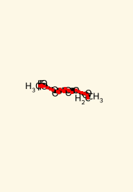 C=C(C)C(=O)OCCCCCCOc1ccc(C(=O)Oc2ccc(-c3ccc(C(=O)OCCCCCCOC(=O)C(F)(F)C(C)(F)F)cc3)cc2)cc1